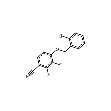 N#Cc1ccc(OCc2ccccc2Cl)c(F)c1F